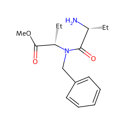 CC[C@@H](N)C(=O)N(Cc1ccccc1)[C@@H](CC)C(=O)OC